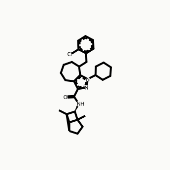 CC12CCC3C1C3(C)[C@H]2NC(=O)c1nn(C2CCCCC2)c2c1CCCCC2Cc1ccccc1Cl